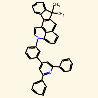 CC1(C)c2ccccc2-c2c1cc1cccc3c1c2C=CN3c1cccc(-c2cc(-c3ccccc3)nc(-c3ccccc3)c2)c1